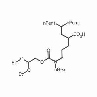 CCCCCCN(CCCC(CC(CCCCC)CCCCC)C(=O)O)C(=O)OCC(OCC)OCC